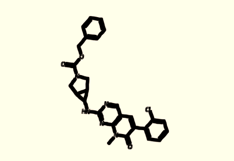 Cn1c(=O)c(-c2ccccc2Cl)cc2cnc(NC3C4CN(C(=O)OCc5ccccc5)CC43)nc21